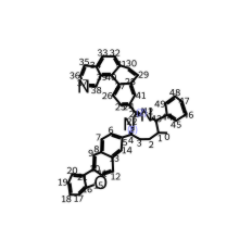 CC1CC/C(c2ccc3cc4c(cc3c2)oc2ccccc24)=N\C(c2ccc3c(ccc4ccc5ccncc5c43)c2)=N/C1c1ccccc1